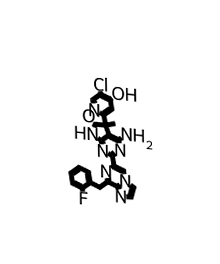 CC1(c2cc(O)c(Cl)cn2)C(=O)Nc2nc(-c3cn4ccnc4c(Cc4ccccc4F)n3)nc(N)c21